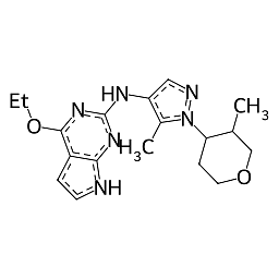 CCOc1nc(Nc2cnn(C3CCOCC3C)c2C)nc2[nH]ccc12